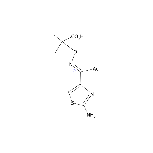 CC(=O)/C(=N\OC(C)(C)C(=O)O)c1csc(N)n1